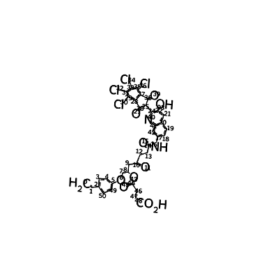 C=Cc1ccc(OCC(CC(=O)CCC(=O)Nc2ccc3cc(O)c(C4C(=O)c5c(Cl)c(Cl)c(Cl)c(Cl)c5C4=O)nc3c2)OC(=O)CCC(=O)O)cc1